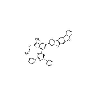 C=C/C=C\c1sc2c(-c3nc(-c4ccccc4)nc(-c4ccccc4)n3)cc(-c3ccc4c(c3)oc3cc5oc6ccccc6c5cc34)cc2c1C